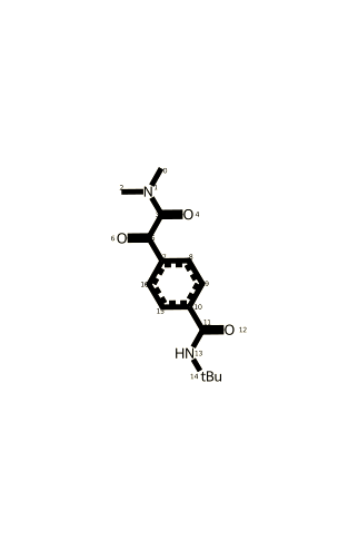 CN(C)C(=O)C(=O)c1ccc(C(=O)NC(C)(C)C)cc1